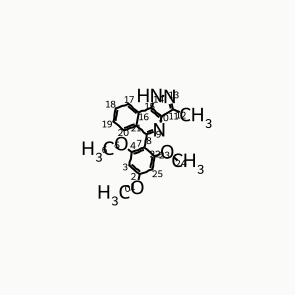 COc1cc(OC)c(-c2nc3c(C)n[nH]c3c3ccccc23)c(OC)c1